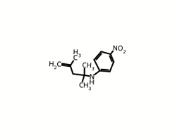 C=C(C)CC(C)(C)Nc1ccc([N+](=O)[O-])cc1